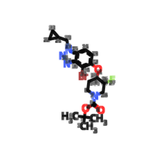 CC(C)(C)OC(=O)N1CC[C@@H](Oc2ccc3c(nnn3CC3CC3)c2Br)[C@@H](F)C1